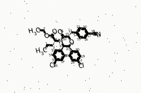 CCC[C@H](C(=O)OCC)N1C(=O)[C@H](Cc2ccc(C#N)cc2)O[C@@H](c2ccc(Cl)cc2)[C@H]1c1ccc(Cl)cc1